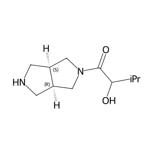 CC(C)C(O)C(=O)N1C[C@H]2CNC[C@H]2C1